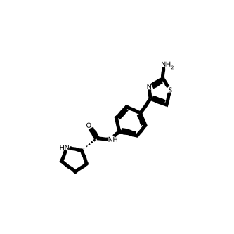 Nc1nc(-c2ccc(NC(=O)[C@@H]3CCCN3)cc2)cs1